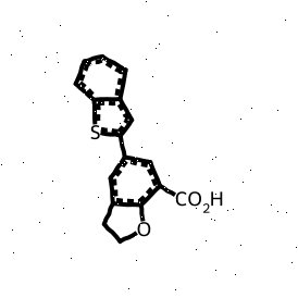 O=C(O)c1cc(-c2cc3ccccc3s2)cc2c1OCC2